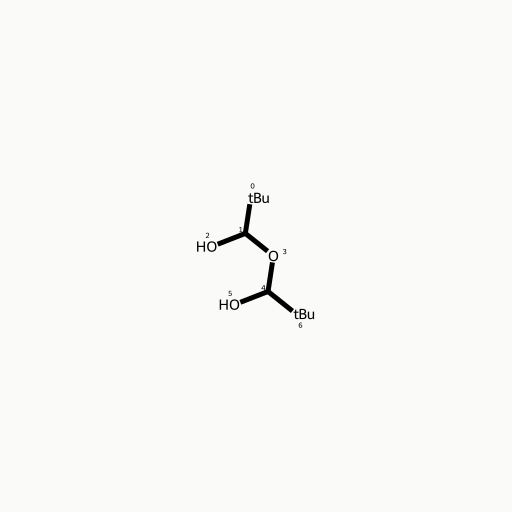 CC(C)(C)C(O)OC(O)C(C)(C)C